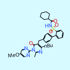 CCCCc1nc(C)n(-c2ncc(OC)cn2)c(=O)c1Cc1ccc(-c2ccccc2S(=O)(=O)NC(=O)C2CCCCC2)cc1